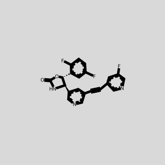 O=C1N[C@H](c2cncc(C#Cc3cncc(F)c3)c2)[C@@H](c2cc(F)ccc2F)O1